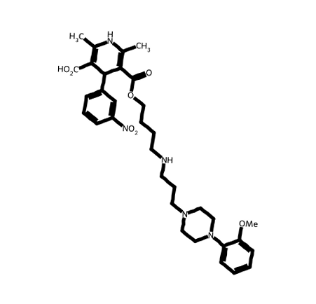 COc1ccccc1N1CCN(CCCNCCCCOC(=O)C2=C(C)NC(C)=C(C(=O)O)C2c2cccc([N+](=O)[O-])c2)CC1